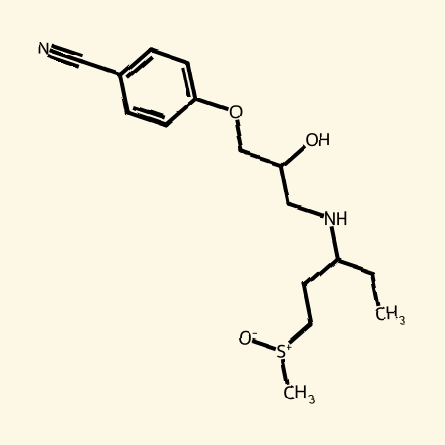 CCC(CC[S+](C)[O-])NCC(O)COc1ccc(C#N)cc1